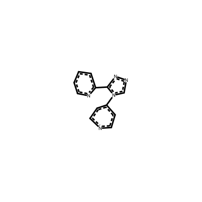 c1ccc(-c2nncn2-c2ccncc2)nc1